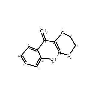 C=C(C1=NOCCO1)c1ccccc1O